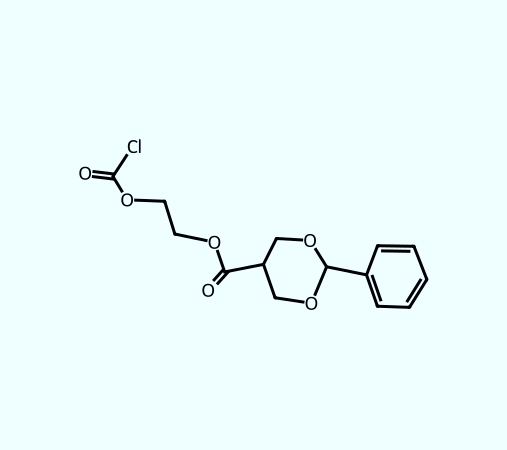 O=C(Cl)OCCOC(=O)C1COC(c2ccccc2)OC1